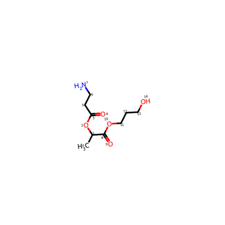 CC(OC(=O)CCN)C(=O)OCCCO